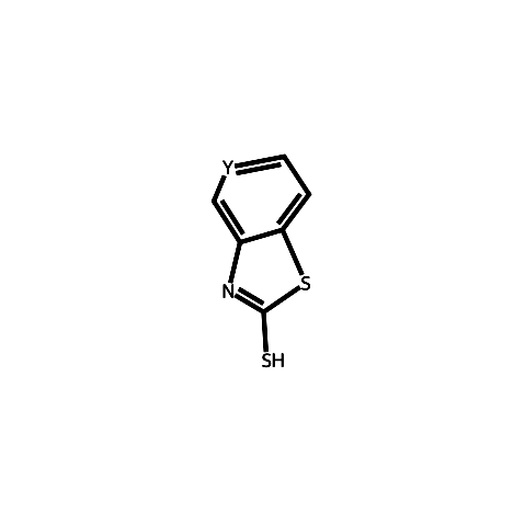 Sc1nc2c(s1)=C[CH]=[Y][CH]=2